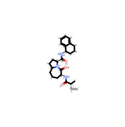 CN[C@@H](C)C(=O)N[C@H]1CCCC2CC[C@@H](C(=O)N[C@@H]3CCCc4ccccc43)N2C1=O